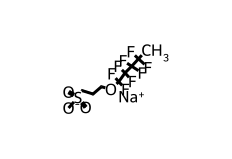 CC(F)(F)C(F)(F)C(F)(F)C(F)(F)OCCCS(=O)(=O)[O-].[Na+]